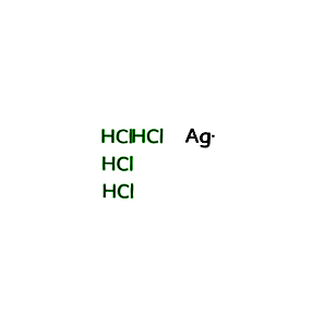 Cl.Cl.Cl.Cl.[Ag]